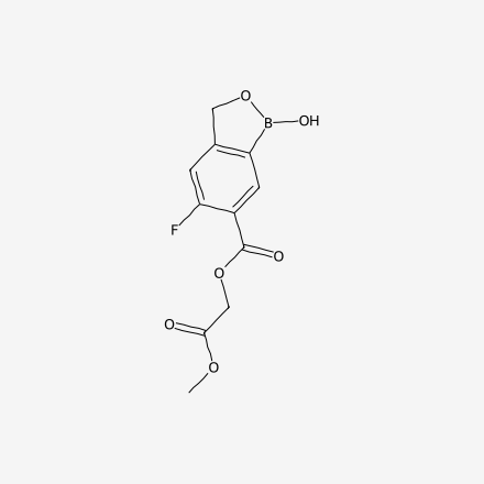 COC(=O)COC(=O)c1cc2c(cc1F)COB2O